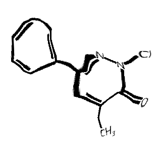 Cc1cc(-c2ccccc2)nn(Cl)c1=O